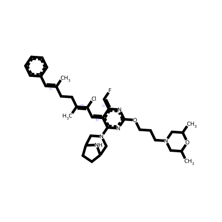 C\C(CC/C(C)=C/c1ccccc1)=C(Cl)/C=c1/c(N2CC3CCC(C2)N3)nc(OCCCN2CC(C)OC(C)C2)n/c1=C\F